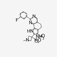 CN1CC(c2[nH]c3c(c2C(=O)O)CCc2cnc(-c4cccc(F)c4)nc2-3)(C2(N)CC2)C1